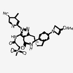 COC1CN(c2ccc3c(c2)CC[C@]32Cc3nn(C4=CC(C)C(C#N)C=N4)c(NC(=O)CS(C)(=O)=O)c3C(=O)N2)C1